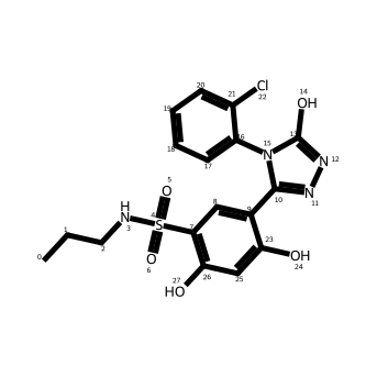 CCCNS(=O)(=O)c1cc(-c2nnc(O)n2-c2ccccc2Cl)c(O)cc1O